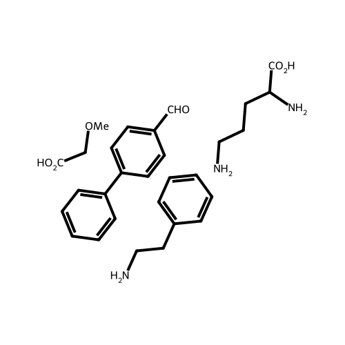 COCC(=O)O.NCCCC(N)C(=O)O.NCCc1ccccc1.O=Cc1ccc(-c2ccccc2)cc1